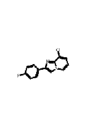 Fc1ccc(-c2cn3cccc(Cl)c3n2)cc1